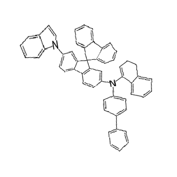 C1=C(N(c2ccc(-c3ccccc3)cc2)c2ccc3c(c2)C2(c4ccccc4-c4ccccc42)c2cc(-n4ccc5ccccc54)ccc2-3)c2ccccc2CC1